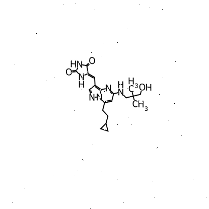 CC(C)(CO)CNc1cc(CCC2CC2)n2ncc(/C=C3\NC(=O)NC3=O)c2n1